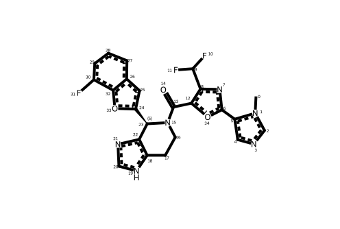 Cn1cncc1-c1nc(C(F)F)c(C(=O)N2CCc3[nH]cnc3[C@H]2c2cc3cccc(F)c3o2)o1